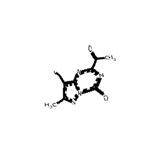 CC(=O)c1nc(Cl)n2nc(C)c(I)c2n1